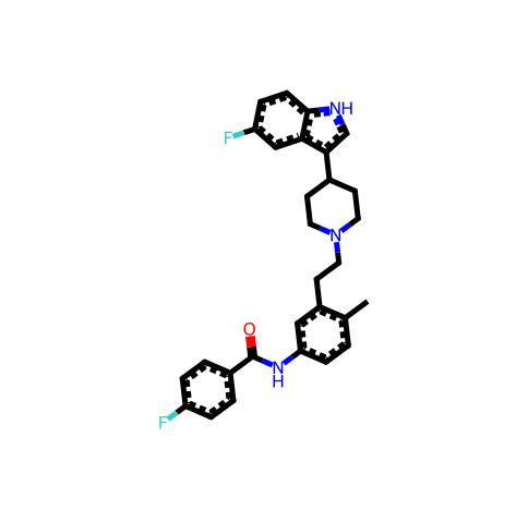 Cc1ccc(NC(=O)c2ccc(F)cc2)cc1CCN1CCC(c2c[nH]c3ccc(F)cc23)CC1